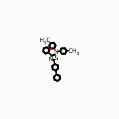 Cc1ccc(N(c2ccc(C)cc2)c2sc(-c3ccc(-c4ccccc4)cc3)nc2-c2ccccc2)cc1